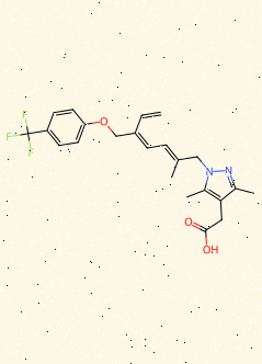 C=C/C(=C\C=C(/C)Cn1nc(C)c(CC(=O)O)c1C)COc1ccc(C(F)(F)F)cc1